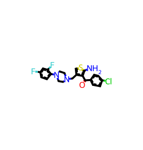 Nc1scc(CN2CCN(c3ccc(F)cc3F)CC2)c1C(=O)c1ccc(Cl)cc1